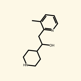 Cc1cccnc1CC(O)C1CCNCC1